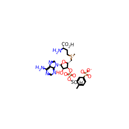 C[S+](CC[C@H](N)C(=O)O)C[C@H]1O[C@@H](n2cnc3c(N)ncnc32)[C@H](O)[C@@H]1OS(=O)(=O)OS(=O)(=O)O.Cc1ccc(S(=O)(=O)[O-])cc1